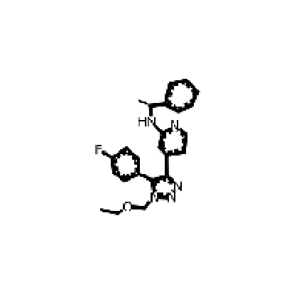 CCOCn1nnc(-c2ccnc(N[C@@H](C)c3ccccc3)c2)c1-c1ccc(F)cc1